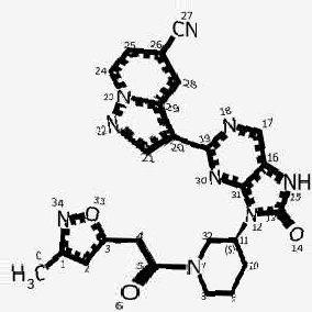 Cc1cc(CC(=O)N2CCC[C@H](n3c(=O)[nH]c4cnc(-c5cnn6ccc(C#N)cc56)nc43)C2)on1